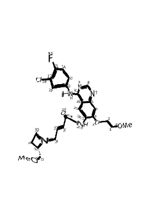 COCCOc1cc2ncnc(Nc3ccc(F)c(Cl)c3)c2cc1NC(=O)C=CCN1CC[C@H]1COC